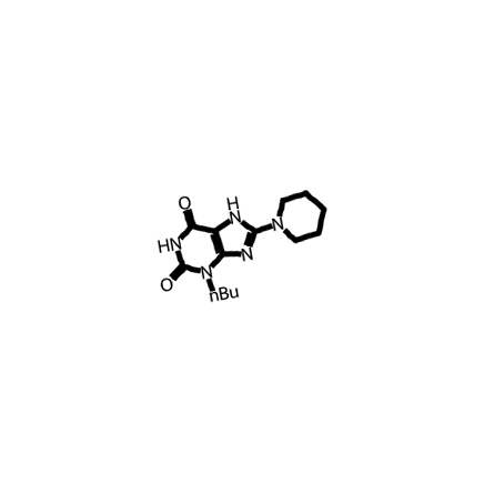 CCCCn1c(=O)[nH]c(=O)c2[nH]c(N3CCCCC3)nc21